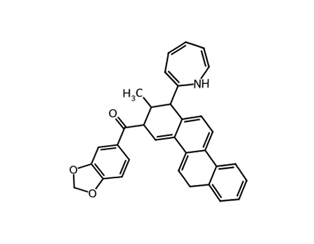 CC1C(C(=O)c2ccc3c(c2)OCO3)C=c2c(ccc3c2=CCc2ccccc2-3)C1C1=CC=CC=CN1